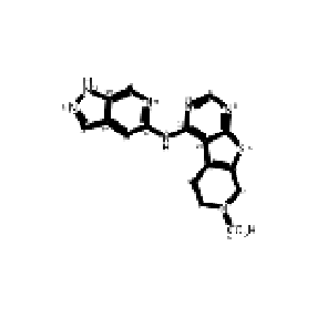 O=C(O)N1CCc2c(sc3ncnc(Nc4cc5cn[nH]c5cn4)c23)C1